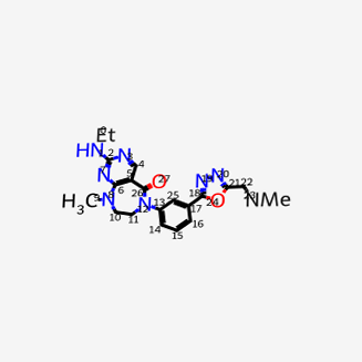 CCNc1ncc2c(n1)N(C)CCN(c1cccc(-c3nnc(CNC)o3)c1)C2=O